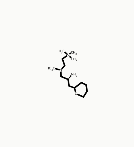 C[Si](C)(C)CCN(C[C@@H](N)CC1CCCCO1)C(=O)O